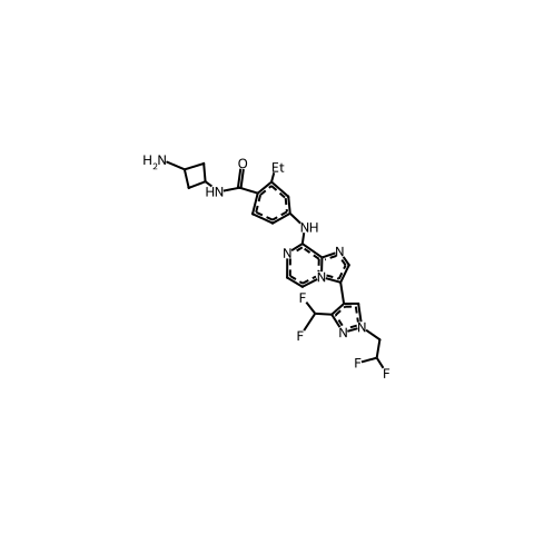 CCc1cc(Nc2nccn3c(-c4cn(CC(F)F)nc4C(F)F)cnc23)ccc1C(=O)NC1CC(N)C1